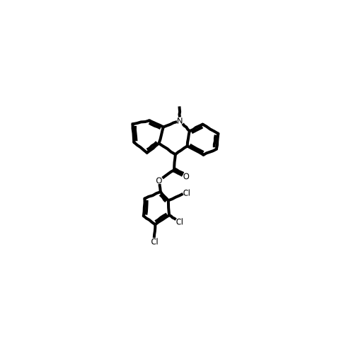 CN1c2ccccc2C(C(=O)Oc2ccc(Cl)c(Cl)c2Cl)c2ccccc21